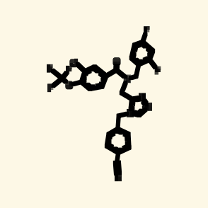 N#Cc1ccc(Cn2cnnc2CN(Cc2ccc(F)cc2F)C(=O)c2ccc(OC(F)(F)F)c(Cl)c2)cc1